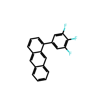 Fc1cc(-c2cccc3cc4ccccc4cc23)cc(F)c1F